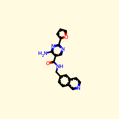 Nc1nc(-c2ccco2)ncc1C(=O)NCc1ccc2cnccc2c1